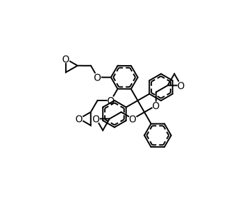 c1ccc(C(OCC2CO2)(OCC2CO2)C(c2ccccc2)(c2ccccc2)c2cccc(OCC3CO3)c2OCC2CO2)cc1